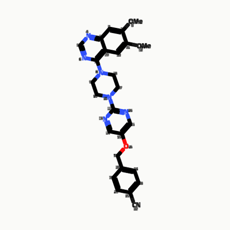 COc1cc2ncnc(N3CCN(c4ncc(OCc5ccc(C#N)cc5)cn4)CC3)c2cc1OC